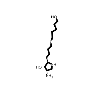 N[C@H]1CN[C@H](CCCCCCCCCCO)[C@H]1O